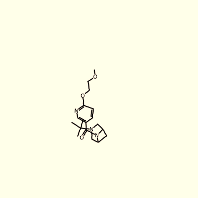 COCCOc1ccc(C(=O)N2C3CC2CN(C(C)(C)C)C3)cn1